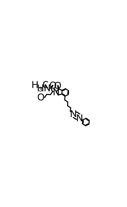 CNC(=O)C(CCC=O)N1Cc2c(CCCCCN3CCN(c4ccccc4)CC3)cccc2C1=O